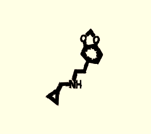 c1cc2c(cc1CCNCC1CC1)OCO2